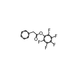 O=C(Cc1ccccc1)Oc1c(F)c(F)c(F)c(F)c1F